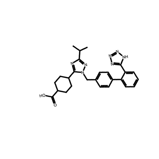 CC(C)c1nc(C2CCC(C(=O)O)CC2)n(Cc2ccc(-c3ccccc3-c3nnn[nH]3)cc2)n1